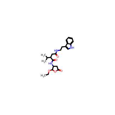 CCOC1OC(=O)CC1NC(=O)C(CC(=O)NCCc1c[nH]c2ccccc12)C(C)C